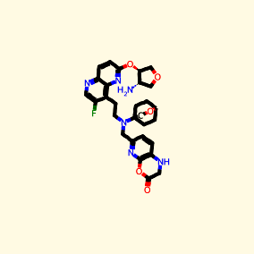 N[C@H]1COC[C@@H]1Oc1ccc2ncc(F)c(CCN(Cc3ccc4c(n3)OC(=O)CN4)C34CCC(CC3)OC4)c2n1